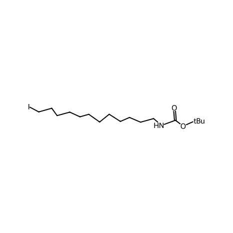 CC(C)(C)OC(=O)NCCCCCCCCCCCCI